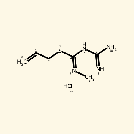 C=CCSC(=NC)NC(=N)N.Cl